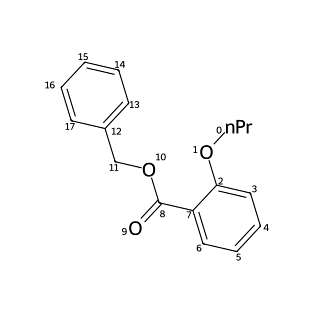 CCCOc1ccccc1C(=O)OCc1ccccc1